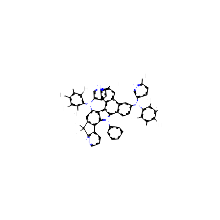 [2H]c1c([2H])c([2H])c(N(c2ccc(C)nc2)c2ccc3c(c2)c2ccccc2c2c4c(N(c5ccc(C)nc5)c5c([2H])c([2H])c([2H])c([2H])c5[2H])cc5c(c4n(-c4ccccc4)c32)-c2cccnc2C5(C)C)c([2H])c1[2H]